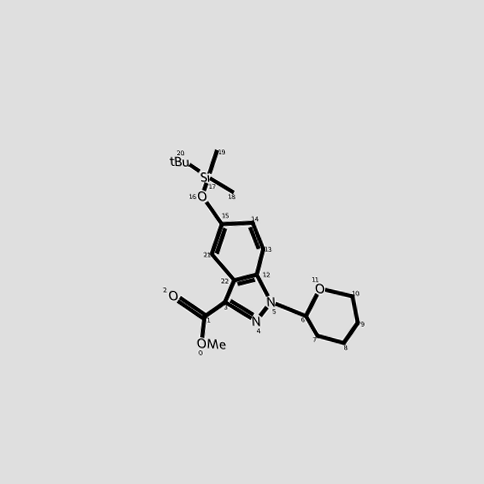 COC(=O)c1nn(C2CCCCO2)c2ccc(O[Si](C)(C)C(C)(C)C)cc12